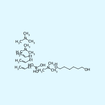 C=CCC.C=CCC.C=CCC.CN(C)C.CN(C)C.CN(C)C.OB(O)O.OCCCCCCO